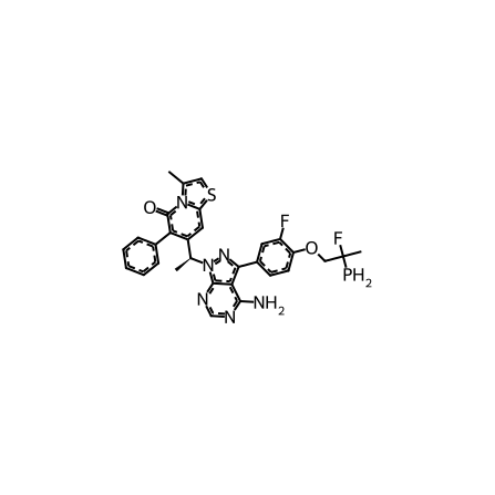 Cc1csc2cc([C@H](C)n3nc(-c4ccc(OCC(C)(F)P)c(F)c4)c4c(N)ncnc43)c(-c3ccccc3)c(=O)n12